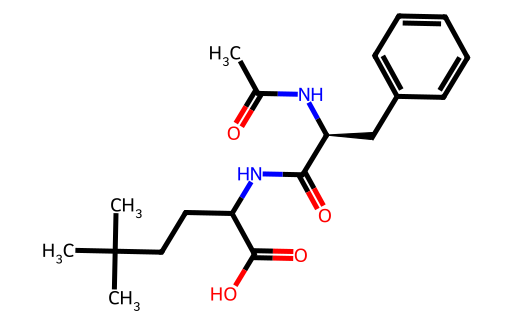 CC(=O)N[C@@H](Cc1ccccc1)C(=O)NC(CCC(C)(C)C)C(=O)O